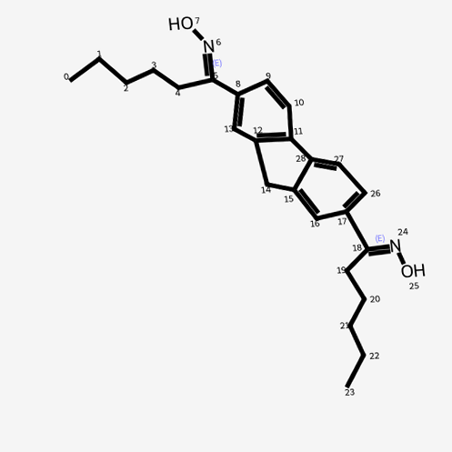 CCCCC/C(=N\O)c1ccc2c(c1)Cc1cc(/C(CCCCC)=N/O)ccc1-2